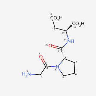 NCC(=O)N1CCC[C@H]1C(=O)N[C@@H](CC(=O)O)C(=O)O